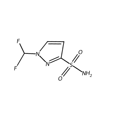 NS(=O)(=O)c1ccn(C(F)F)n1